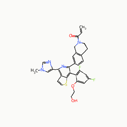 C=CC(=O)N1CCc2ccc(-c3nc(-c4cn(C)cn4)c4ccsc4c3-c3c(F)cc(F)cc3OCCO)cc2C1